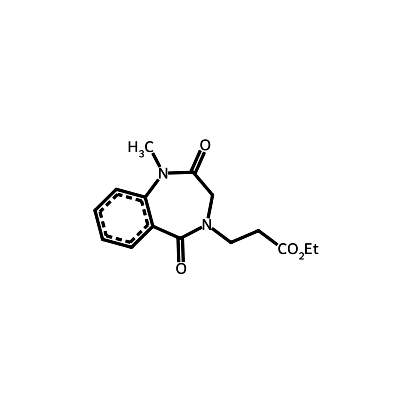 CCOC(=O)CCN1CC(=O)N(C)c2ccccc2C1=O